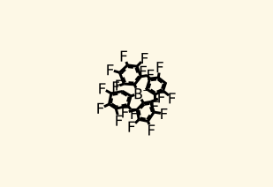 Fc1cc(F)c(F)c([B-](c2c(F)c(F)c(F)c(F)c2F)(c2c(F)c(F)c(F)c(F)c2F)c2c(F)c(F)c(F)c(F)c2F)c1F